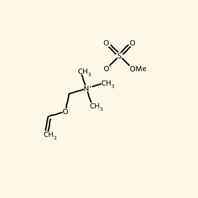 C=COC[N+](C)(C)C.COS(=O)(=O)[O-]